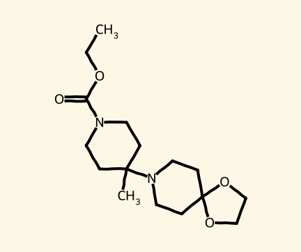 CCOC(=O)N1CCC(C)(N2CCC3(CC2)OCCO3)CC1